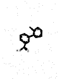 Cc1ccccc1-c1cccc(C(=O)O)c1